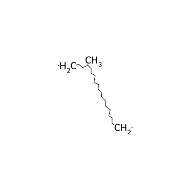 [CH2]CCCCCCCCCCCCCCC(C)CC[CH2]